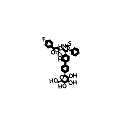 OC[C@H]1O[C@@H](c2ccc(-c3ccc([C@@H]4[C@H](CCC(O)c5ccc(F)cc5)NC(=S)N4c4ccccc4)c(O)c3)cc2)[C@H](O)[C@@H](O)[C@@H]1O